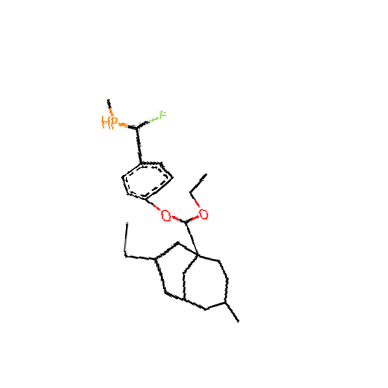 CCOC(Oc1ccc(C(F)PC)cc1)C12CCC(C)CC(CC(CC)C1)C2